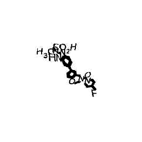 CN(C(=O)O)c1nc2ccc(-c3ccc4c(c3)CN(C(=O)N3CCC(CF)CC3)CCO4)cc2[nH]1